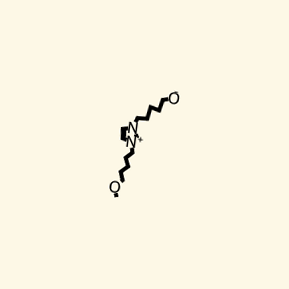 COCCCCCn1cc[n+](CCCCCOC)c1